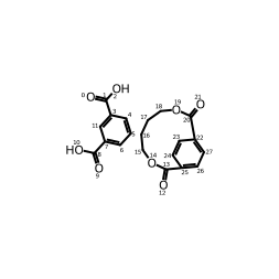 O=C(O)c1cccc(C(=O)O)c1.O=C1OCCCCOC(=O)c2ccc1cc2